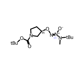 CN(/[N+]([O-])=N/O[C@@H]1CCN(C(=O)OC(C)(C)C)C1)C(C)(C)C